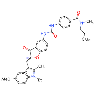 CCn1c(C)c(/C=C2\Oc3ccc(NC(=O)Nc4ccc(C(=O)N(C)CCNC)cc4)cc3C2=O)c2cc(OC)ccc21